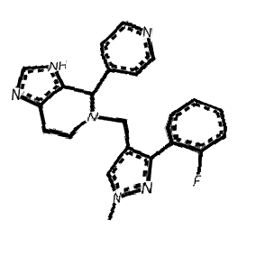 Cn1cc(CN2CCc3nc[nH]c3C2c2ccncc2)c(-c2ccccc2F)n1